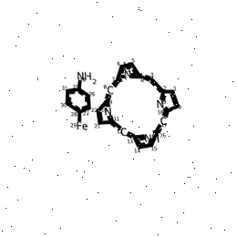 C1=Cc2cc3ccc(cc4nc(cc5ccc(cc1n2)[nH]5)C=C4)[nH]3.Nc1cc[c]([Fe])cc1